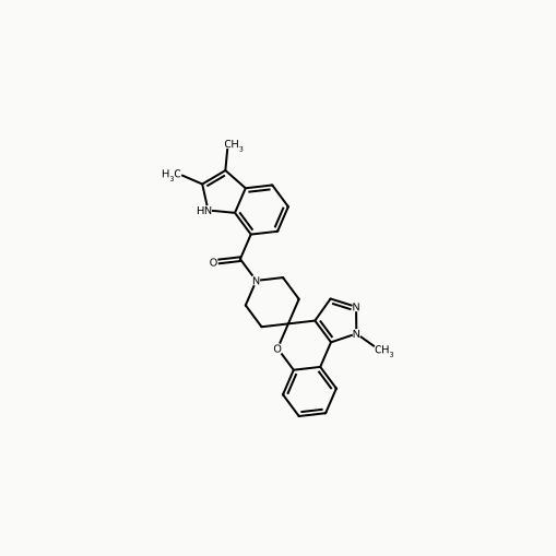 Cc1[nH]c2c(C(=O)N3CCC4(CC3)Oc3ccccc3-c3c4cnn3C)cccc2c1C